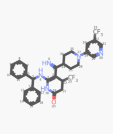 N=C(C1=C(NC(c2ccccc2)c2ccccc2)NC(=O)CC1C(F)(F)F)C1CCN(c2cncc(C(F)(F)F)c2)CC1